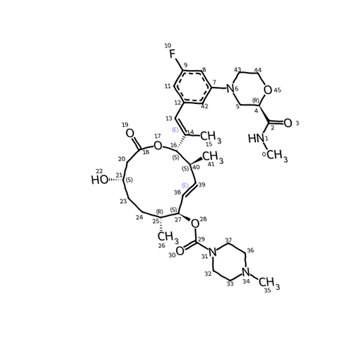 CNC(=O)[C@H]1CN(c2cc(F)cc(/C=C(\C)[C@H]3OC(=O)C[C@@H](O)CC[C@@H](C)[C@H](OC(=O)N4CCN(C)CC4)/C=C/[C@@H]3C)c2)CCO1